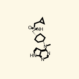 CN(c1ncnc2[nH]ccc12)[C@H]1CC[C@@H](C[S@@](=N)(=O)CC2CC2)CC1